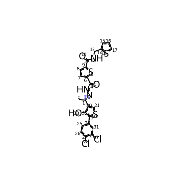 C/C(=N\NC(=O)c1ccc(C(=O)NCc2cccs2)s1)c1csc(-c2ccc(Cl)c(Cl)c2)c1O